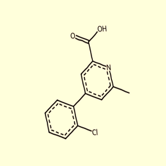 Cc1cc(-c2ccccc2Cl)cc(C(=O)O)n1